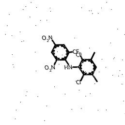 Cc1cc(C)c(Cl)c(Nc2c([N+](=O)[O-])cc([N+](=O)[O-])cc2C(F)(F)F)c1Cl